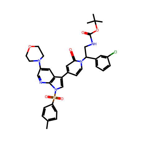 Cc1ccc(S(=O)(=O)n2cc(-c3ccn(C(CNC(=O)OC(C)(C)C)c4cccc(Cl)c4)c(=O)c3)c3cc(N4CCOCC4)cnc32)cc1